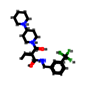 C/C=C(\C(=O)NCc1cccc(C(F)(F)F)c1)C(=O)N1CCC(N2CCCCC2)CC1